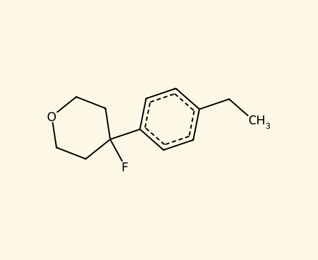 CCc1ccc(C2(F)CCOCC2)cc1